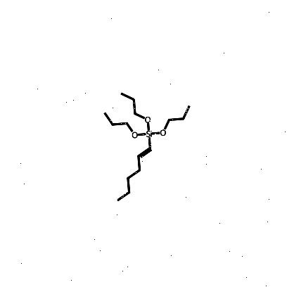 CCCC/C=C/[Si](OCCC)(OCCC)OCCC